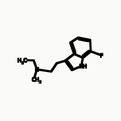 CCN(C)CCc1c[nH]c2c(F)cccc12